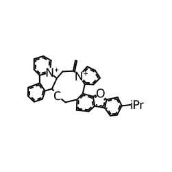 C=C1CC2C(CCc3ccc4c(oc5cc(C(C)C)ccc54)c3-c3cccc[n+]31)c1ccccc1-c1cccc[n+]12